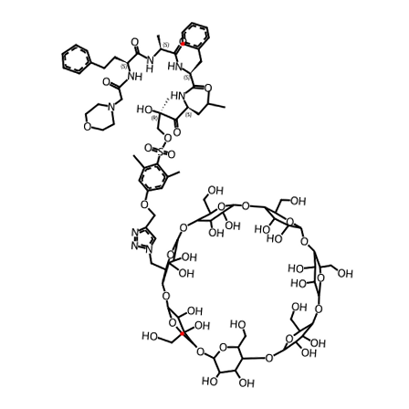 Cc1cc(OCc2cn(CC3OC4OC5C(CO)OC(OC6C(CO)OC(OC7C(CO)OC(OC8C(CO)OC(OC9C(CO)OC(OC%10C(CO)OC(OC3C(O)C4O)C(O)C%10O)C(O)C9O)C(O)C8O)C(O)C7O)C(O)C6O)C(O)C5O)nn2)cc(C)c1S(=O)(=O)OC[C@@](C)(O)C(=O)[C@H](CC(C)C)NC(=O)[C@H](Cc1ccccc1)NC(=O)[C@H](C)NC(=O)[C@H](CCc1ccccc1)NC(=O)CN1CCOCC1